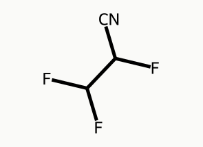 N#CC(F)C(F)F